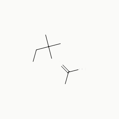 CC(=O)O.CCC(C)(C)C